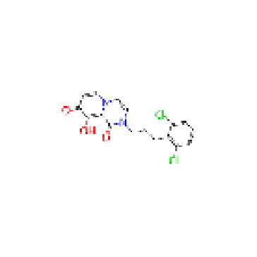 O=c1ccn2ccn(CCCc3c(Cl)cccc3Cl)c(=O)c2c1O